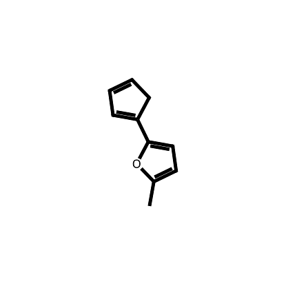 Cc1ccc(C2=CC=CC2)o1